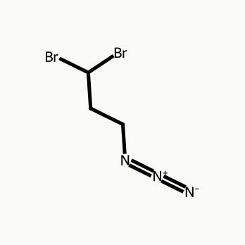 [N-]=[N+]=NCCC(Br)Br